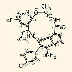 CCC1Nc2nc3c(cnn3c(N)c2-c2ccc(Cl)cc2)C(=O)NCC(C)Oc2ncc(F)cc21